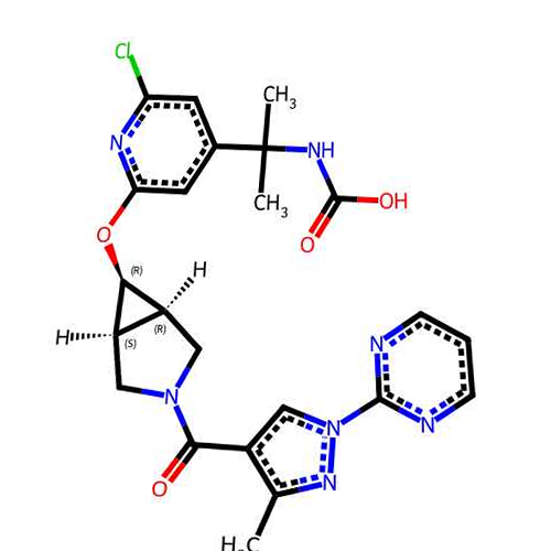 Cc1nn(-c2ncccn2)cc1C(=O)N1C[C@@H]2[C@H](C1)[C@@H]2Oc1cc(C(C)(C)NC(=O)O)cc(Cl)n1